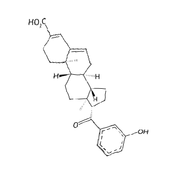 C[C@]12CC[C@H]3[C@@H](CC=C4C=C(C(=O)O)CC[C@@]43C)[C@@H]1CC[C@@H]2C(=O)c1cccc(O)c1